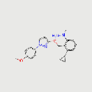 COc1ccc(-n2ccc(OCc3c(C4CC4)cccc3N(C)N)n2)cc1